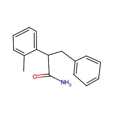 Cc1ccccc1C(Cc1ccccc1)C(N)=O